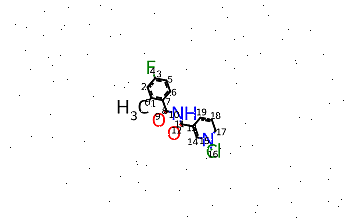 Cc1cc(F)ccc1C(=O)NC(=O)C1=CN(Cl)CC=C1